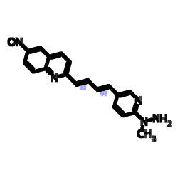 CN(N)c1ccc(/C=C/C=C/c2ccc3cc(N=O)ccc3n2)cn1